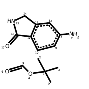 CC(C)(C)OC=O.Nc1ccc2c(c1)CNC2=O